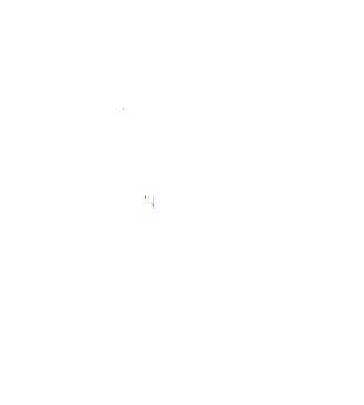 CC1(C)c2cc(N(c3ccccc3)c3ccc(-c4ccc5ccccc5c4-c4ccccc4)cc3)ccc2-c2c(-c3ccccc3)cccc21